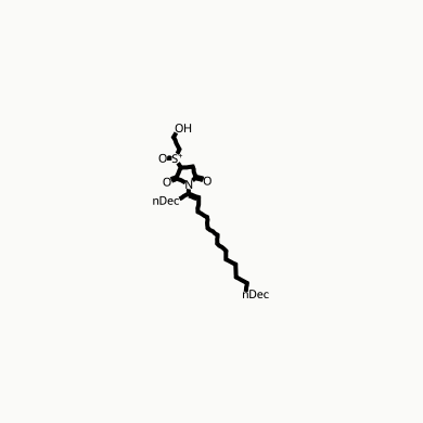 CCCCCCCCCCCCCCCCCCCC/C=C(\CCCCCCCCCC)N1C(=O)CC([S+]([O-])CCO)C1=O